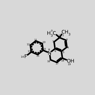 CC1(C)C=CC2=C(C1)N(c1cccc(F)c1)CC=C2O